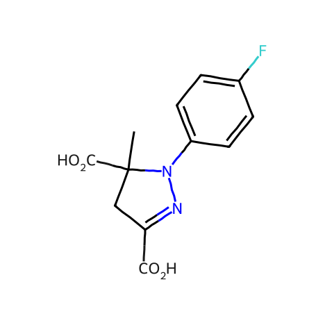 CC1(C(=O)O)CC(C(=O)O)=NN1c1ccc(F)cc1